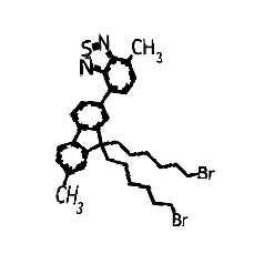 Cc1ccc2c(c1)C(CCCCCCBr)(CCCCCCBr)c1cc(-c3ccc(C)c4nsnc34)ccc1-2